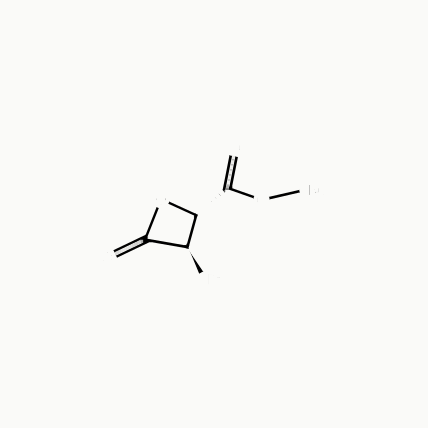 CC(C)[C@H]1C(=O)O[C@@H]1C(=O)OC(C)(C)C